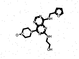 [O-][S+]1CCN(c2nc(NCCO)nc3c(NCc4ccco4)ncnc23)CC1